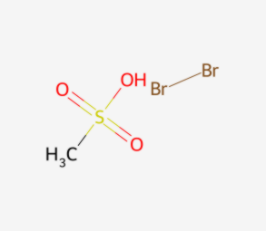 BrBr.CS(=O)(=O)O